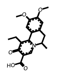 CCc1c2n(cc(C(=O)O)c1=O)C(C)Cc1cc(OC)c(OC)cc1-2